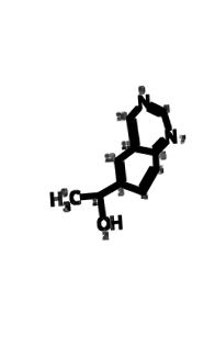 CC(O)c1ccc2ncncc2c1